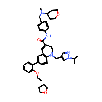 C1CCOC1.CCOc1ccccc1-c1ccc2c(c1)C=C(C(=O)Nc1ccc(CN(C)C3CCOCC3)cc1)CCN2Cc1cnn(C(C)C)c1